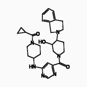 O=C(c1cc(NC2CCN(C(=O)C3CC3)CC2)ncn1)N1CCC(N2CCc3ccccc3C2)C(O)C1